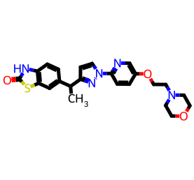 CC(c1ccc2[nH]c(=O)sc2c1)c1ccn(-c2ccc(OCCN3CCOCC3)cn2)n1